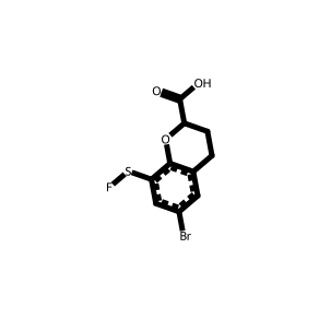 O=C(O)C1CCc2cc(Br)cc(SF)c2O1